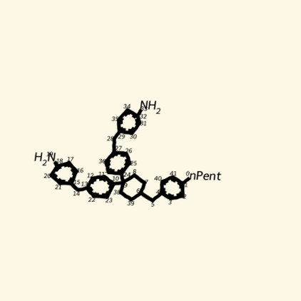 CCCCCc1ccc(CC2CCC(c3ccc(Cc4ccc(N)cc4)cc3)(c3ccc(Cc4ccc(N)cc4)cc3)CC2)cc1